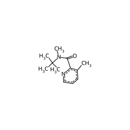 Cc1cccnc1C(=O)N(C)C(C)(C)C